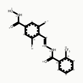 O=C(NO)c1cc(F)c(C=NNC(=O)c2ccccc2C(F)(F)F)c(F)c1